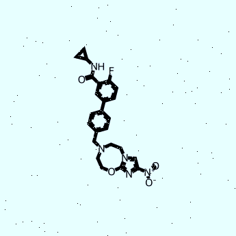 O=C(NC1CC1)c1cc(-c2ccc(CN3CCOc4nc([N+](=O)[O-])cn4CC3)cc2)ccc1F